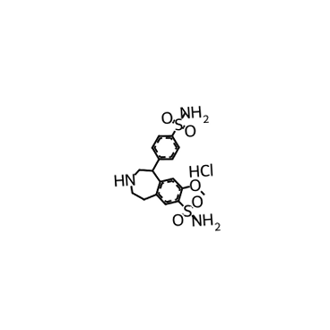 COc1cc2c(cc1S(N)(=O)=O)CCNCC2c1ccc(S(N)(=O)=O)cc1.Cl